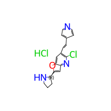 Cl.Clc1nc2cc([C@H]3CCCN3)oc2cc1C=Cc1ccncc1